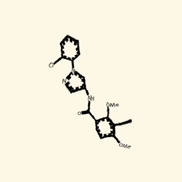 COc1ccc(C(=O)Nc2cnn(-c3ccccc3Cl)c2)c(OC)c1C